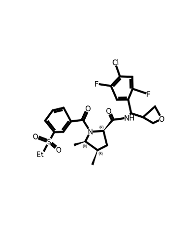 CCS(=O)(=O)c1cccc(C(=O)N2[C@@H](C(=O)NC(c3cc(F)c(Cl)cc3F)C3COC3)C[C@@H](C)[C@H]2C)c1